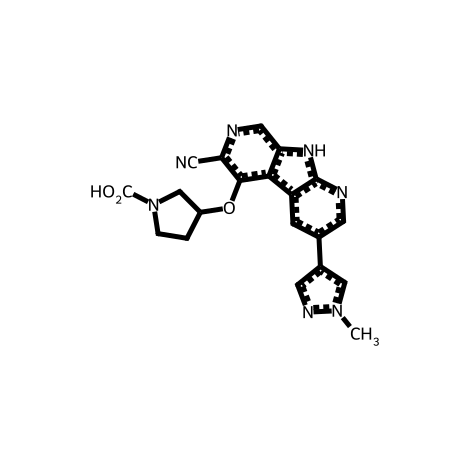 Cn1cc(-c2cnc3[nH]c4cnc(C#N)c(OC5CCN(C(=O)O)C5)c4c3c2)cn1